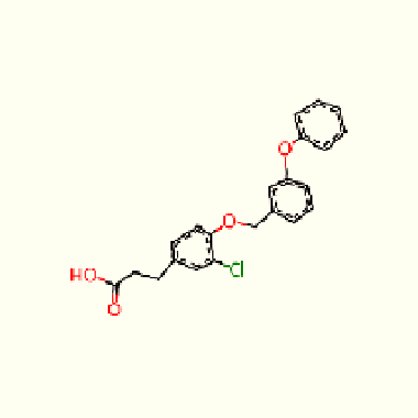 O=C(O)CCc1ccc(OCc2cccc(Oc3ccccc3)c2)c(Cl)c1